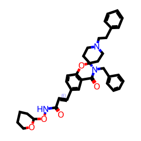 O=C(/C=C/c1ccc2c(c1)C(=O)N(Cc1ccccc1)C1(CCN(CCc3ccccc3)CC1)O2)NOC1CCCCO1